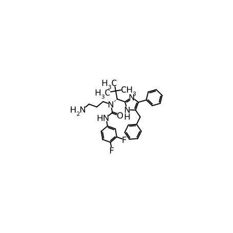 CC(C)(C)[C@H](c1nc(-c2ccccc2)c(Cc2ccccc2)[nH]1)N(CCCN)C(=O)Nc1ccc(F)c(F)c1